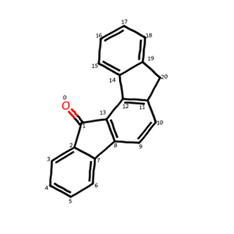 O=C1c2ccccc2-c2ccc3c(c21)-c1ccccc1C3